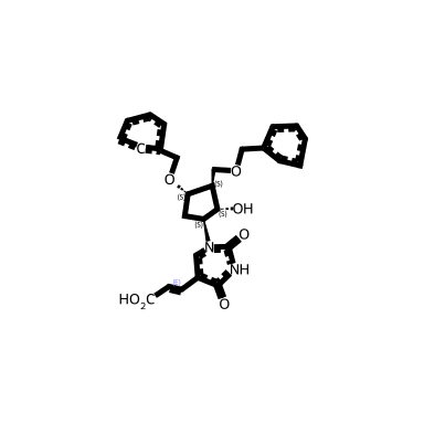 O=C(O)/C=C/c1cn([C@H]2C[C@H](OCc3ccccc3)[C@@H](COCc3ccccc3)[C@@H]2O)c(=O)[nH]c1=O